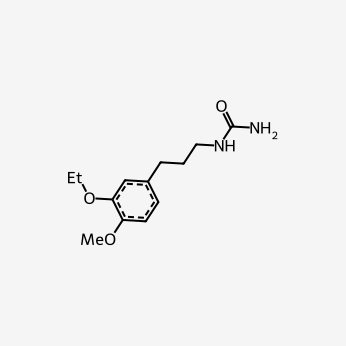 CCOc1cc(CCCNC(N)=O)ccc1OC